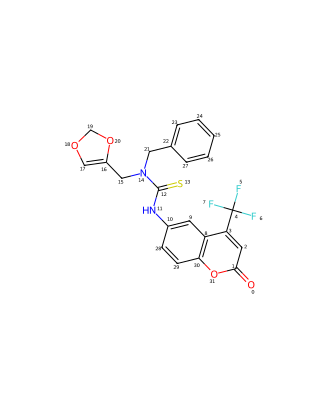 O=c1cc(C(F)(F)F)c2cc(NC(=S)N(CC3=COCO3)Cc3ccccc3)ccc2o1